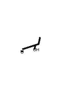 C1CO1.CCCCCCCC/C=C\CCCC(CCCCO)CCCCCCCCCCCCCCCC